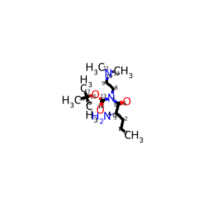 CCC[C@H](N)C(=O)N(CCN(C)C)C(=O)OC(C)(C)C